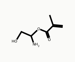 C=C(C)C(=O)OC(N)CO